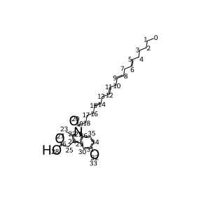 CCCCC/C=C/C/C=C/C/C=C/C/C=C/CCCC(=O)n1c(C)c(CC(=O)O)c2cc(OC)ccc21